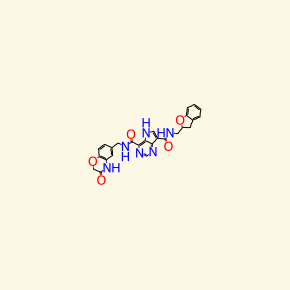 O=C1COc2ccc(CNC(=O)c3ncnc4c(C(=O)NCC5Cc6ccccc6O5)c[nH]c34)cc2N1